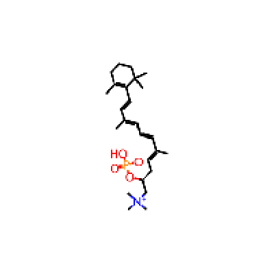 CC(C=CC1=C(C)CCCC1(C)C)=CC=CC(C)=CC[C@@H](C[N+](C)(C)C)OP(=O)([O-])O